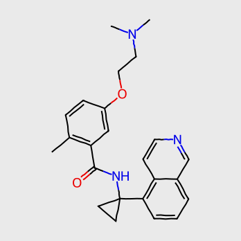 Cc1ccc(OCCN(C)C)cc1C(=O)NC1(c2cccc3cnccc23)CC1